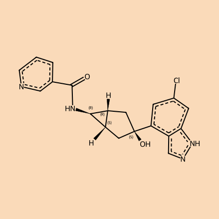 O=C(N[C@H]1[C@@H]2C[C@](O)(c3cc(Cl)cc4[nH]ncc34)C[C@@H]21)c1cccnc1